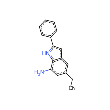 N#CCc1cc(N)c2[nH]c(-c3ccccc3)cc2c1